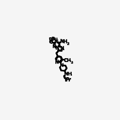 CCCCOc1nc(N)c2ncc(Cc3cnc(N4CCC(NCC(C)C)CC4)c(C)c3)n2n1